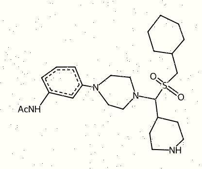 CC(=O)Nc1cccc(N2CCN(C(C3CCNCC3)S(=O)(=O)CC3CCCCC3)CC2)c1